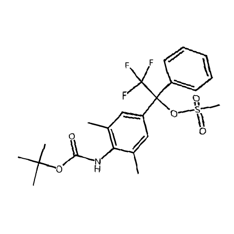 Cc1cc(C(OS(C)(=O)=O)(c2ccccc2)C(F)(F)F)cc(C)c1NC(=O)OC(C)(C)C